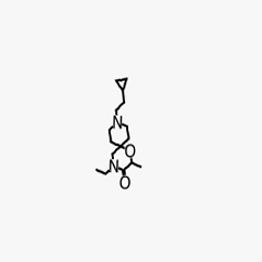 CCN1CC2(CCN(CCC3CC3)CC2)OC(C)C1=O